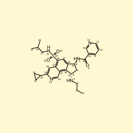 CCCN[C@H]1C[C@H](NC(=O)c2cccnc2)c2cc(S(=O)(=O)NCC(C)C)c3cc(C4CC4)ncc3c21